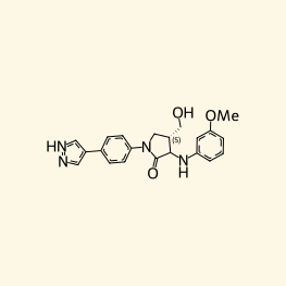 COc1cccc(NC2C(=O)N(c3ccc(-c4cn[nH]c4)cc3)C[C@@H]2CO)c1